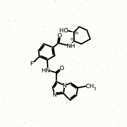 Cc1ccc2ncc(C(=O)Nc3cc(C(=O)N[C@H]4CCCC[C@@H]4O)ccc3F)n2c1